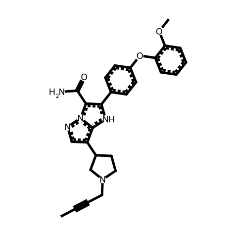 CC#CCN1CCC(c2cnn3c(C(N)=O)c(-c4ccc(Oc5ccccc5OC)cc4)[nH]c23)C1